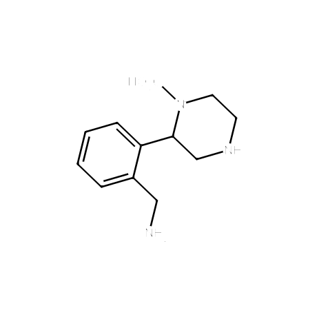 NCc1ccccc1C1CNCCN1C(=O)O